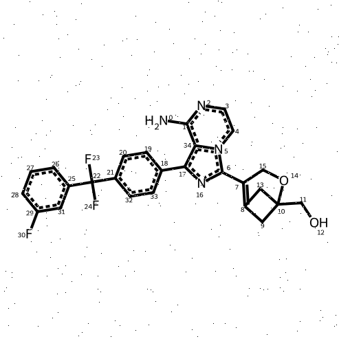 Nc1nccn2c(C3=C4CC(CO)(C4)OC3)nc(-c3ccc(C(F)(F)c4cccc(F)c4)cc3)c12